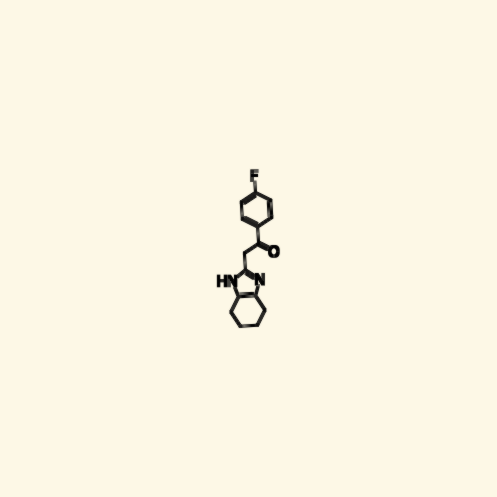 O=C(Cc1nc2c([nH]1)CCCC2)c1ccc(F)cc1